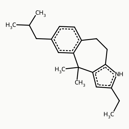 CCc1cc2c([nH]1)CCc1ccc(CC(C)C)cc1C2(C)C